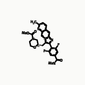 CNC(=O)c1cc(F)c(-c2nc3cc4ccc(C)nc4cn3c2C[C@H]2CN(C(=O)OC)CCO2)c(F)c1